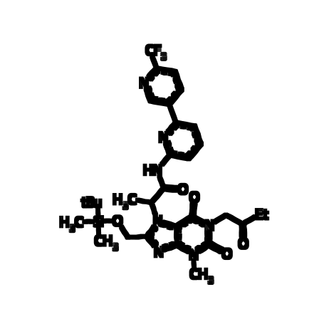 CCC(=O)Cn1c(=O)c2c(nc(CO[Si](C)(C)C(C)(C)C)n2C(C)C(=O)Nc2cccc(-c3ccc(C(F)(F)F)nc3)n2)n(C)c1=O